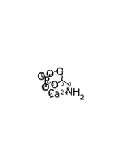 NCC(=O)OP(=O)([O-])[O-].[Ca+2]